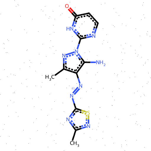 Cc1nsc(/N=N/c2c(C)nn(-c3nccc(=O)[nH]3)c2N)n1